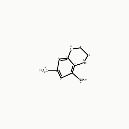 CNc1cc(C(=O)O)cc2c1NCCO2